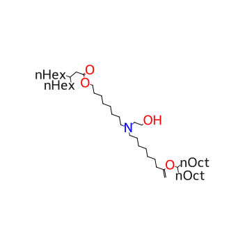 C=C(CCCCCCCN(CCO)CCCCCCCCOC(=O)CC(CCCCCC)CCCCCC)OC(CCCCCCCC)CCCCCCCC